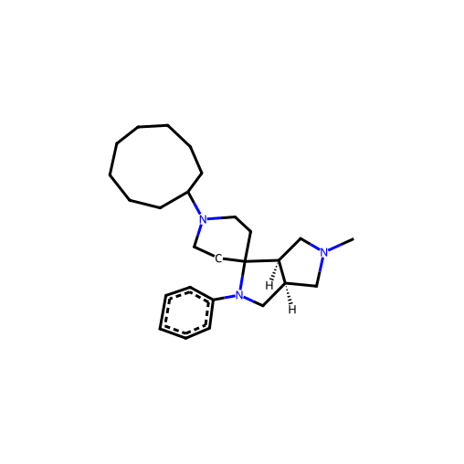 CN1C[C@H]2CN(c3ccccc3)C3(CCN(C4CCCCCCCC4)CC3)[C@H]2C1